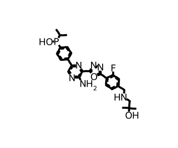 CC(C)P(O)c1ccc(-c2cnc(N)c(-c3nnc(-c4ccc(CNCC(C)(C)O)cc4F)o3)n2)cc1